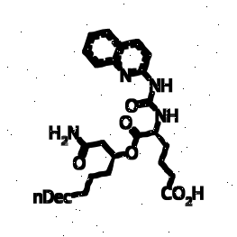 CCCCCCCCCCCCC[C@@H](CC(N)=O)OC(=O)[C@H](CCCC(=O)O)NC(=O)Nc1ccc2ccccc2n1